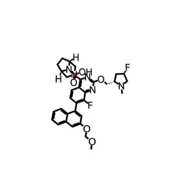 COCOc1cc(-c2ccc3c(N4C[C@H]5CC[C@@H](C4)N5C(=O)O)nc(OC[C@@H]4C[C@@H](F)CN4C)nc3c2F)c2ccccc2c1